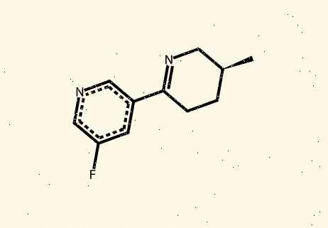 C[C@H]1CCC(c2cncc(F)c2)=NC1